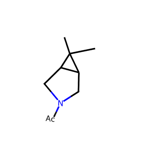 CC(=O)N1CC2C(C1)C2(C)C